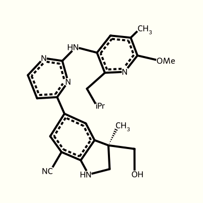 COc1nc(CC(C)C)c(Nc2nccc(-c3cc(C#N)c4c(c3)[C@@](C)(CO)CN4)n2)cc1C